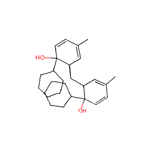 CC1=CC(CC2C=C(C)C=CC2(O)C2CCCCC2)C(O)(C2CCCCC2)C=C1